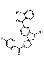 CC(C)c1ccccc1C(=O)c1ccc2c(c1)C(O)CC21CCN(C(=O)c2ccc(F)cn2)C1